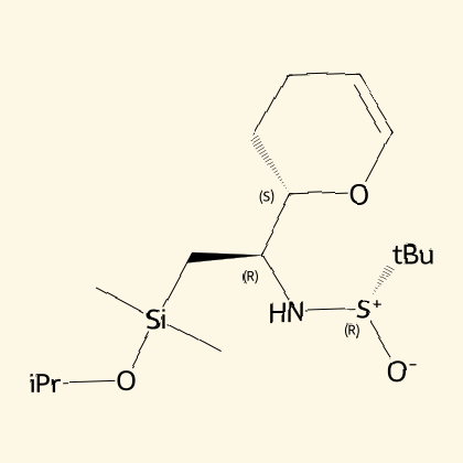 CC(C)O[Si](C)(C)C[C@H](N[S@@+]([O-])C(C)(C)C)[C@@H]1CCC=CO1